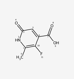 Cc1[nH]c(=O)cc(C(=O)O)c1F